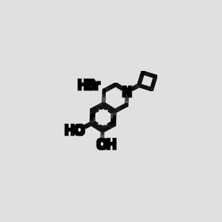 Br.Oc1cc2c(cc1O)CN(C1CCC1)CC2